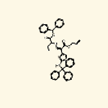 C=CCOC(=O)C(=NOC(CC)C(=O)OC(c1ccccc1)c1ccccc1)c1csc(NC(c2ccccc2)(c2ccccc2)c2ccccc2)n1